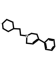 [CH]1CCC(CCN2CC=C(c3ccccc3)CC2)CC1